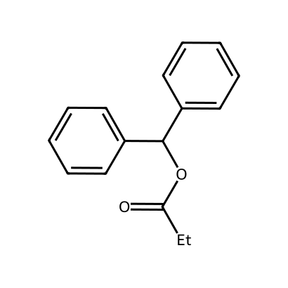 CCC(=O)OC(c1ccccc1)c1ccccc1